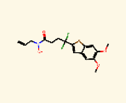 C=CCN(O)C(=O)CCC(F)(F)c1cc2cc(OC)c(OC)cc2s1